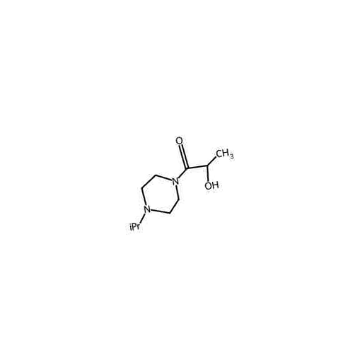 CC(O)C(=O)N1CCN(C(C)C)CC1